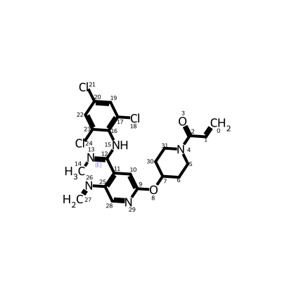 C=CC(=O)N1CCC(Oc2cc(/C(=N\C)Nc3c(Cl)cc(Cl)cc3Cl)c(N=C)cn2)CC1